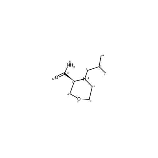 C[C](C)CN1CCOC[C@H]1C(N)=O